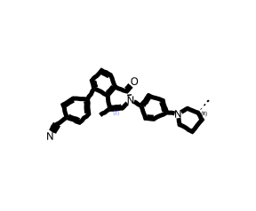 C/C(=C/N(C)c1ccc(N2CCC[C@@H](C)C2)cc1)c1c(C=O)cccc1-c1ccc(C#N)cc1